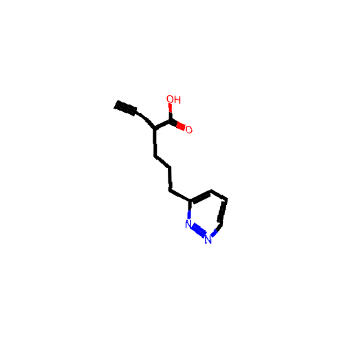 C#CC(CCCc1cccnn1)C(=O)O